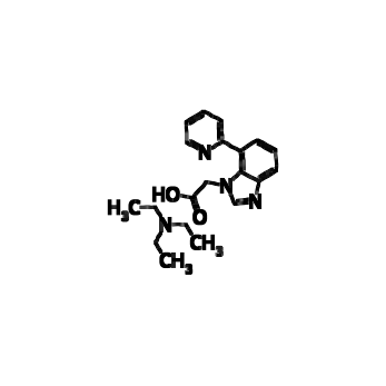 CCN(CC)CC.O=C(O)Cn1cnc2cccc(-c3ccccn3)c21